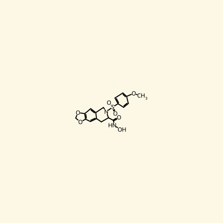 COc1ccc(S(=O)(=O)N2Cc3cc4c(cc3CC2C(=O)NO)OCO4)cc1